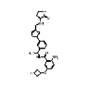 Cc1ccc(OC2CNC2)cc1C(=O)NC(C)c1cccc(-c2ccc(CNC3CCNC3=O)s2)c1